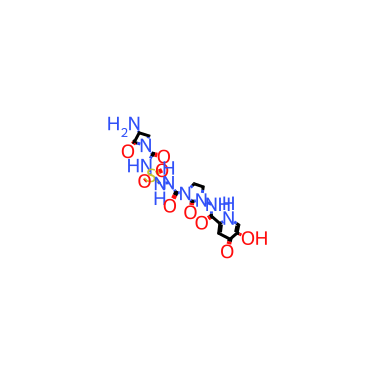 N[C@H]1CN(C(=O)NS(=O)(=O)NNC(=O)N2CCN(NC(=O)c3cc(=O)c(O)c[nH]3)C2=O)C1=O